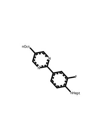 CCCCCCCCc1cnc(-c2ccc(CCCCCCC)c(F)c2)nc1